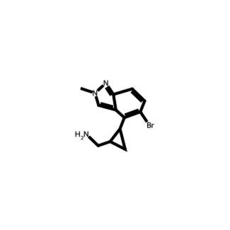 Cn1cc2c(C3CC3CN)c(Br)ccc2n1